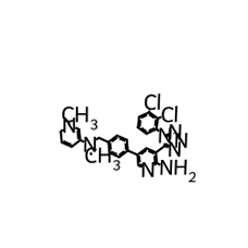 CN1C=C(N(C)Cc2ccc(-c3cnc(N)c(-c4nnnn4-c4cccc(Cl)c4Cl)c3)cc2)C=CC1